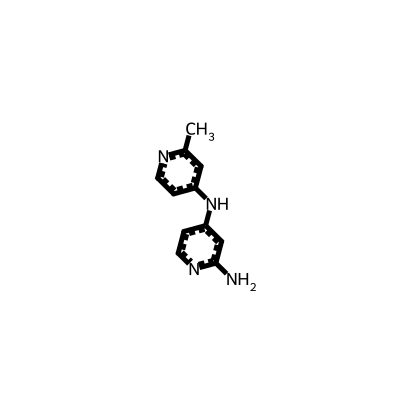 Cc1cc(Nc2ccnc(N)c2)ccn1